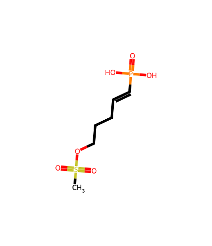 CS(=O)(=O)OCCC/C=C/P(=O)(O)O